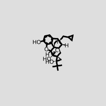 CC(C)(C)[C@]1(O)C[C@@]12C[C@@]13CC[C@]2(O)[C@@H]2Oc4c(O)ccc5c4[C@@]21CCN(CC1CC1)[C@@H]3C5